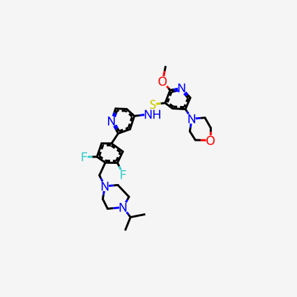 COc1ncc(N2CCOCC2)cc1SNc1ccnc(-c2cc(F)c(CN3CCN(C(C)C)CC3)c(F)c2)c1